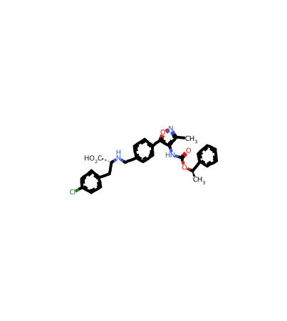 Cc1noc(-c2ccc(CN[C@H](Cc3ccc(Cl)cc3)C(=O)O)cc2)c1NC(=O)O[C@H](C)c1ccccc1